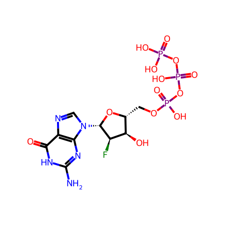 Nc1nc2c(ncn2[C@@H]2O[C@H](COP(=O)(O)OP(=O)(O)OP(=O)(O)O)[C@@H](O)[C@H]2F)c(=O)[nH]1